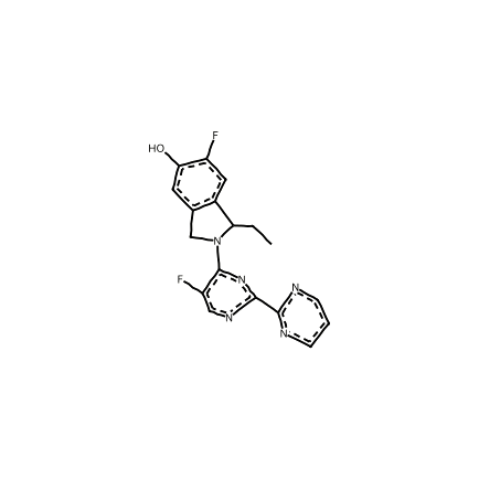 CCC1c2cc(F)c(O)cc2CN1c1nc(-c2ncccn2)ncc1F